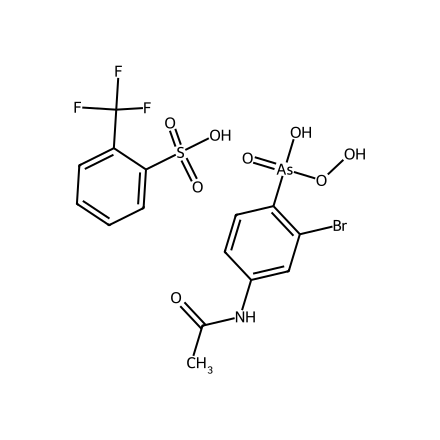 CC(=O)Nc1ccc([As](=O)(O)OO)c(Br)c1.O=S(=O)(O)c1ccccc1C(F)(F)F